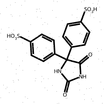 O=C1NC(=O)C(c2ccc(S(=O)(=O)O)cc2)(c2ccc(S(=O)(=O)O)cc2)N1